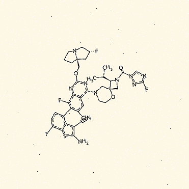 CC(C)[C@H]1N(C(=O)n2cnc(F)n2)C[C@@]12CN(c1nc(OC[C@@]34CCCN3C[C@H](F)C4)nc3c(F)c(-c4ccc(F)c5sc(N)c(C#N)c45)c(Cl)cc13)CCO2